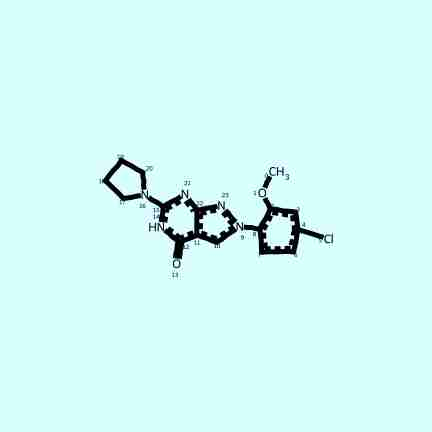 COc1cc(Cl)ccc1-n1cc2c(=O)[nH]c(N3CCCC3)nc2n1